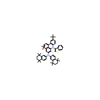 CC(C)(C)c1ccc(N2c3cc(C(C)(C)C)cc4c3B(c3cc5c(cc3N4c3ccc4c(c3)C(C)(C)CCC4(C)C)C(C)(C)CCC5(C)C)c3sc4ccccc4c32)c(-c2ccccc2)c1